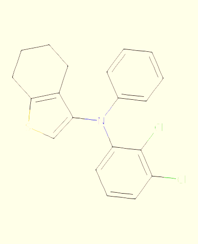 Clc1cccc(N(c2ccccc2)c2csc3c2CCCC3)c1Cl